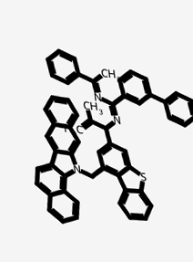 C=C(C)C(/N=C(\N=C(/C)c1ccccc1)c1cccc(-c2ccccc2)c1)c1cc(Cn2c3cc4ccccc4cc3c3ccc4ccccc4c32)c2c(c1)sc1ccccc12